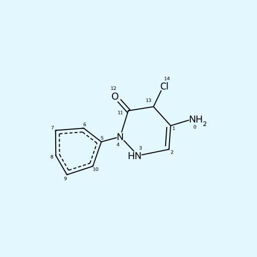 NC1=CNN(c2ccccc2)C(=O)C1Cl